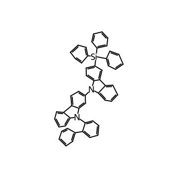 c1ccc(-c2ccccc2-n2c3ccccc3c3ccc(-n4c5ccccc5c5cc([Si](c6ccccc6)(c6ccccc6)c6ccccc6)ccc54)cc32)cc1